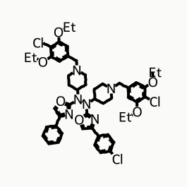 CCOc1cc(CN2CCC(N(c3nc(-c4ccccc4)co3)N(c3nc(-c4ccc(Cl)cc4)co3)C3CCN(Cc4cc(OCC)c(Cl)c(OCC)c4)CC3)CC2)cc(OCC)c1Cl